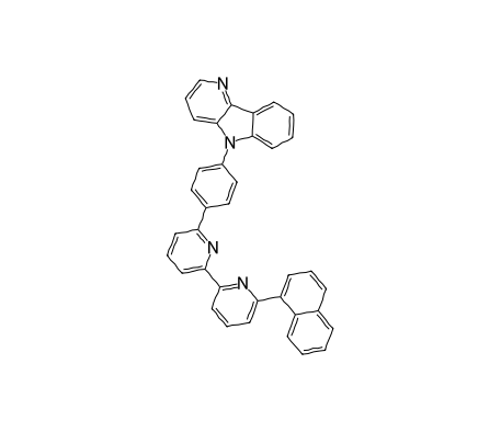 c1cc(-c2ccc(-n3c4ccccc4c4ncccc43)cc2)nc(-c2cccc(-c3cccc4ccccc34)n2)c1